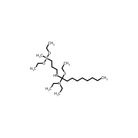 CCCCCCCCC(NCCC[Si](C)(OCC)OCC)(SCC)N(CC)CC